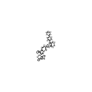 O=C1CCC(N2Cc3cc(OC[C@H]4CCCCN4Cc4ccc(C5=CCOCC5)cc4)ccc3C2=O)C(=O)N1